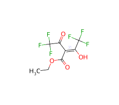 CCOC(=O)/C(C(=O)C(F)(F)F)=C(\O)C(F)(F)F